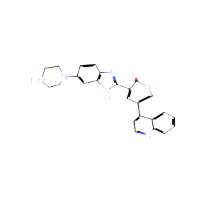 O=c1[nH]cc(-c2ccnc3ccccc23)cc1-c1nc2ccc(N3CCNCC3)cc2[nH]1